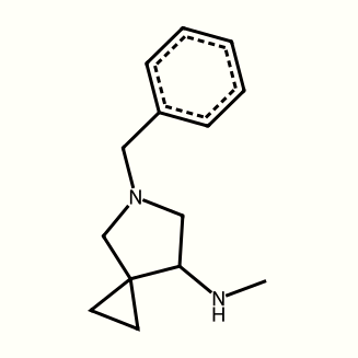 CNC1CN(Cc2ccccc2)CC12CC2